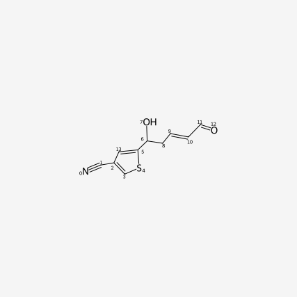 N#Cc1csc(C(O)CC=CC=O)c1